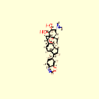 CN(C)[C@H]1C[C@@]23CC[C@@]4(O2)C(=CC[C@]2(C)C(c5ccc6ncoc6c5)=CCC24)C2CC23[C@@H](O)[C@@H]1O